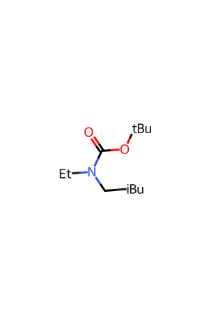 CCC(C)CN(CC)C(=O)OC(C)(C)C